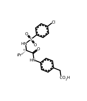 CC(C)[C@H](NS(=O)(=O)c1ccc(Cl)cc1)C(=O)Nc1ccc(CC(=O)O)cc1